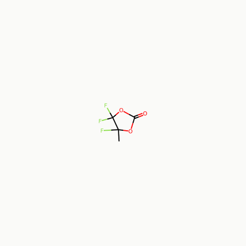 CC1(F)OC(=O)OC1(F)F